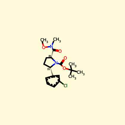 CON(C)C(=O)[C@H]1CC[C@@H](c2cccc(Cl)c2)N1C(=O)OC(C)(C)C